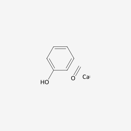 C=O.Oc1ccccc1.[Ca]